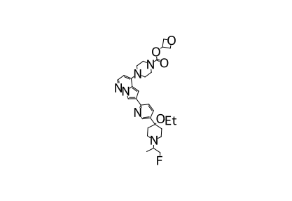 CCOC1(c2ccc(-c3cc4c(N5CCN(C(=O)OC6COC6)CC5)ccnn4c3)nc2)CCN(C(C)CF)CC1